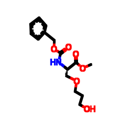 COC(=O)[C@H](COCCCO)NC(=O)OCc1ccccc1